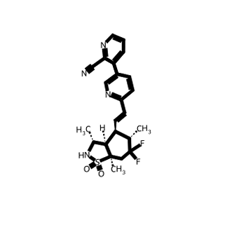 C[C@H]1NS(=O)(=O)[C@]2(C)CC(F)(F)[C@@H](C)[C@H](/C=C/c3ccc(-c4cccnc4C#N)cn3)[C@H]12